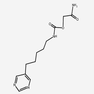 NC(=O)COC(=O)NCCCCCc1cncnc1